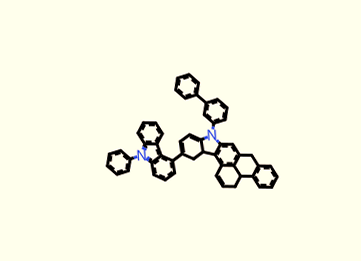 C1=Cc2c3c(cc4c2C(C1)c1ccccc1C4)N(c1cccc(-c2ccccc2)c1)C1=CC=C(c2cccc4c2c2ccccc2n4-c2ccccc2)CC13